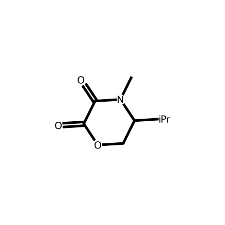 CC(C)C1COC(=O)C(=O)N1C